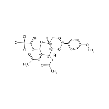 COc1ccc([C@@H]2OC[C@H]3OC(OC(=N)C(Cl)(Cl)Cl)[C@H](OC(C)=O)[C@@H](OC(C)=O)[C@@H]3O2)cc1